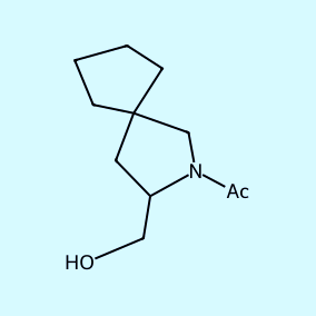 CC(=O)N1CC2(CCCC2)CC1CO